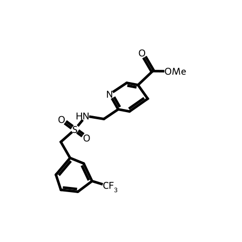 COC(=O)c1ccc(CNS(=O)(=O)Cc2cccc(C(F)(F)F)c2)nc1